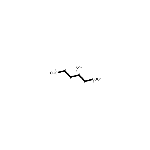 O=C([O-])CCCCC(=O)[O-].[Sr+2]